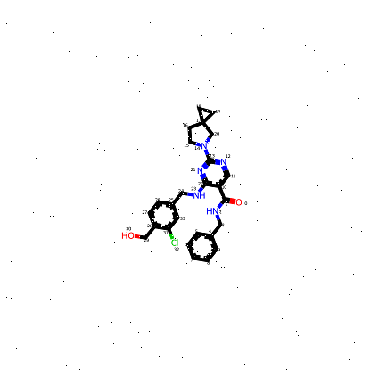 O=C(NCc1ccccc1)c1cnc(N2CCC3(CC3)C2)nc1NCc1ccc(CO)c(Cl)c1